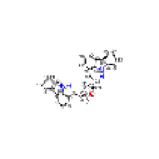 C[Si](C)(CCc1cccc2c1[nH]c1ccccc12)O[Si](C)(C)CCc1cccc2c1[nH]c1ccccc12